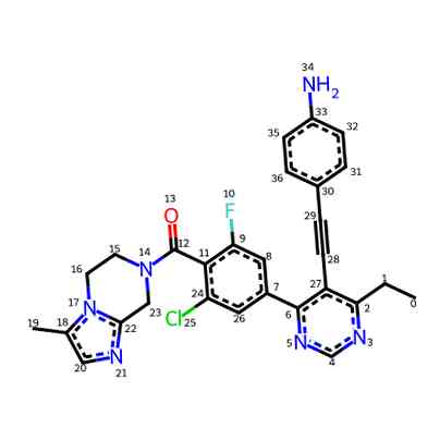 CCc1ncnc(-c2cc(F)c(C(=O)N3CCn4c(C)cnc4C3)c(Cl)c2)c1C#Cc1ccc(N)cc1